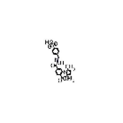 Cc1ccc(C)n1-c1cc(C(=O)N/N=C/c2ccc(S(=O)(=O)O)cc2)ccc1C(=O)O